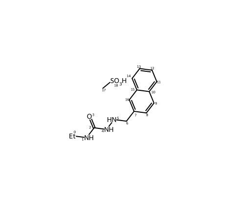 CCNC(=O)NNCc1ccc2ccccc2c1.CS(=O)(=O)O